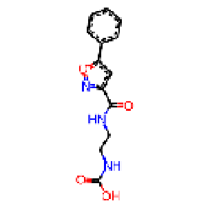 O=C(O)NCCNC(=O)c1cc(-c2ccccc2)on1